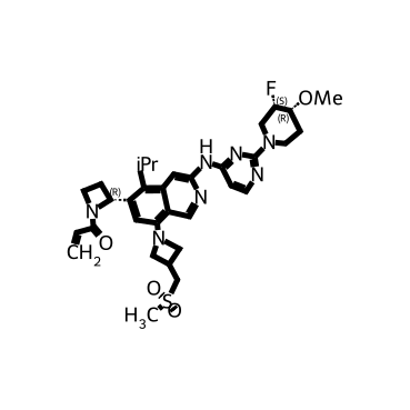 C=CC(=O)N1CC[C@@H]1c1cc(N2CC(CS(C)(=O)=O)C2)c2cnc(Nc3ccnc(N4CC[C@@H](OC)[C@@H](F)C4)n3)cc2c1C(C)C